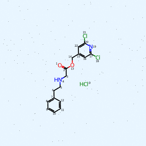 Cl.O=C(CNCCc1ccccc1)OCc1cc(Cl)nc(Cl)c1